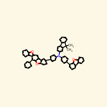 CC1(C)c2ccccc2-c2ccc(N(c3ccc(-c4ccc5oc6c(-c7ccccc7)c7c(cc6c5c4)oc4ccccc47)cc3)c3ccc(-c4cccc5c4oc4ccccc45)cc3)cc21